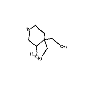 CC1CNCCC1(CO)CO